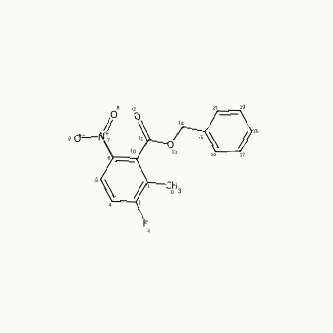 Cc1c(F)ccc([N+](=O)[O-])c1C(=O)OCc1ccccc1